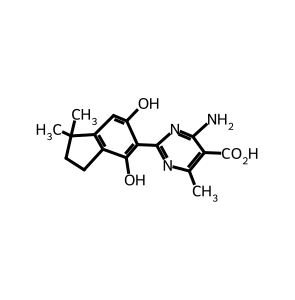 Cc1nc(-c2c(O)cc3c(c2O)CCC3(C)C)nc(N)c1C(=O)O